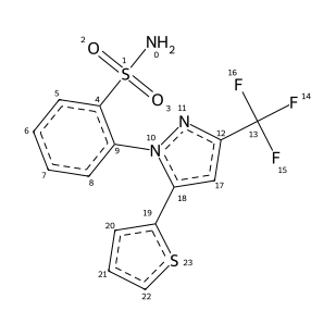 NS(=O)(=O)c1ccccc1-n1nc(C(F)(F)F)cc1-c1cccs1